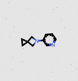 c1cncc(N2CC3(CC3)C2)c1